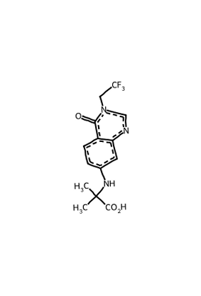 CC(C)(Nc1ccc2c(=O)n(CC(F)(F)F)cnc2c1)C(=O)O